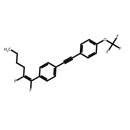 CCCC/C(F)=C(/F)c1ccc(C#Cc2ccc(OC(F)(F)F)cc2)cc1